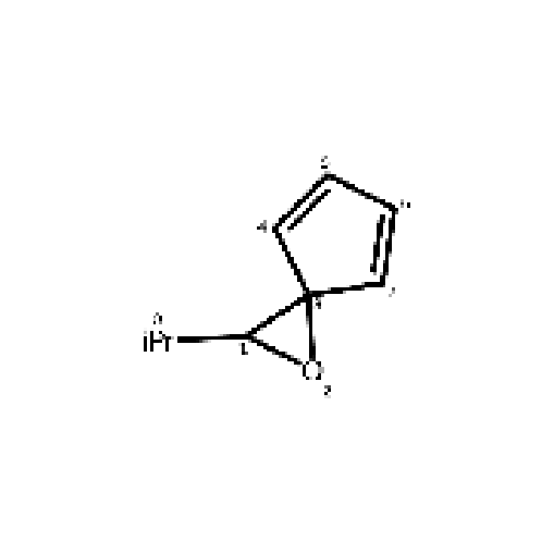 CC(C)C1OC12C=CC=C2